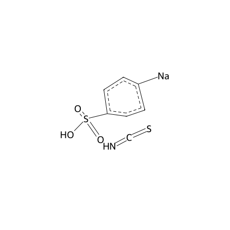 N=C=S.O=S(=O)(O)c1cc[c]([Na])cc1